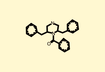 O=C(c1ccccc1)N1C(Cc2ccccc2)C[N]CC1Cc1ccccc1